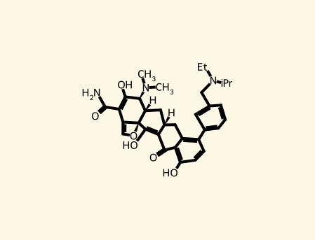 CCN(Cc1cccc(-c2ccc(O)c3c2C[C@H]2C[C@H]4[C@H](N(C)C)C(O)=C(C(N)=O)C5=CO[C@@]54C(O)=C2C3=O)c1)C(C)C